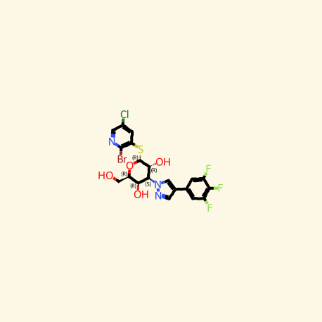 OC[C@H]1O[C@H](Sc2cc(Cl)cnc2Br)[C@H](O)[C@@H](n2cc(-c3cc(F)c(F)c(F)c3)cn2)[C@H]1O